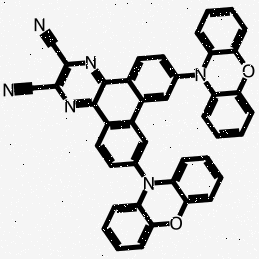 N#Cc1nc2c3ccc(N4c5ccccc5Oc5ccccc54)cc3c3cc(N4c5ccccc5Oc5ccccc54)ccc3c2nc1C#N